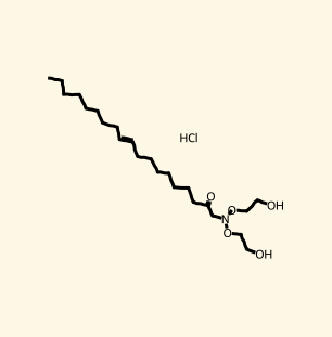 CCCCCCCCC=CCCCCCCCC(=O)CN(OCCO)OCCO.Cl